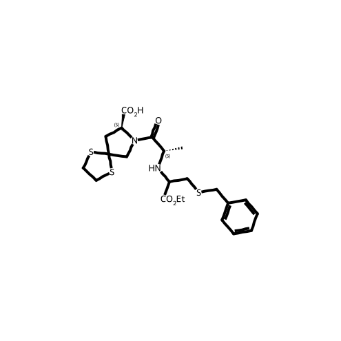 CCOC(=O)C(CSCc1ccccc1)N[C@@H](C)C(=O)N1CC2(C[C@H]1C(=O)O)SCCS2